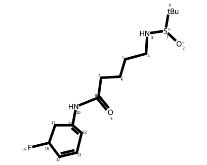 CC(C)(C)[S+]([O-])NCCCCC(=O)NC1=CC=CC(F)C1